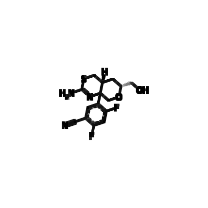 N#Cc1cc(C23CO[C@@H](CO)C[C@H]2CSC(N)=N3)c(F)cc1F